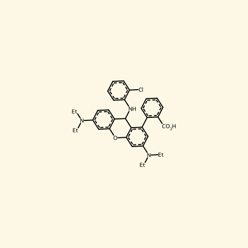 CCN(CC)c1ccc2c(c1)Oc1cc(N(CC)CC)cc(-c3ccccc3C(=O)O)c1C2Nc1ccccc1Cl